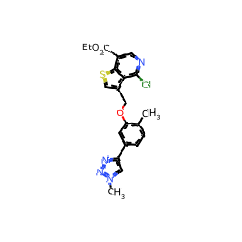 CCOC(=O)c1cnc(Cl)c2c(COc3cc(-c4cn(C)nn4)ccc3C)csc12